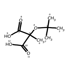 CC(C)(C)OC(C)(C(=O)O)C(=O)O